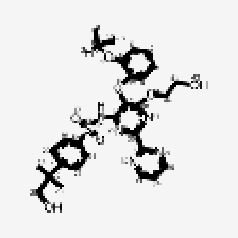 [2H]C([2H])(C)Oc1ccccc1Oc1c(NS(=O)(=O)c2ccc(C(C)(C)CO)cc2)nc(-c2ncccn2)nc1OCCO